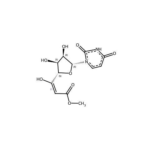 COC(=O)/C=C(/O)[C@H]1O[C@@H](n2ccc(=O)[nH]c2=O)[C@H](O)[C@@H]1O